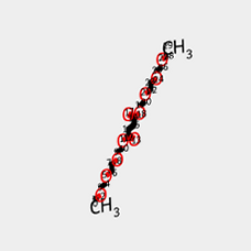 CCOCCOCCOCCOC(=O)/C=C/C(=O)OCCOCCOCCOCC